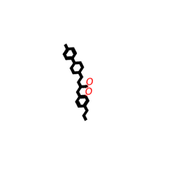 CCCc1ccc2c(c1)OC(=O)C(CCC1CCC(c3ccc(C)cc3)CC1)C2